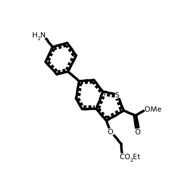 CCOC(=O)COc1c(C(=O)OC)sc2cc(-c3ccc(N)cc3)ccc12